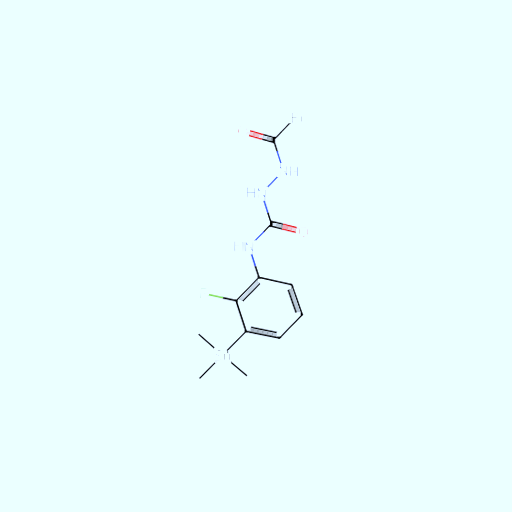 CCC(=O)NNC(=O)Nc1ccc[c]([Sn]([CH3])([CH3])[CH3])c1F